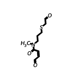 CN(CCCSCC=O)C(=O)/C=C\C=O